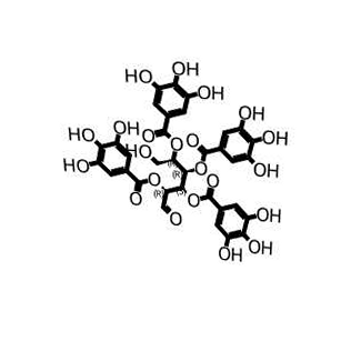 O=C[C@H](OC(=O)c1cc(O)c(O)c(O)c1)[C@@H](OC(=O)c1cc(O)c(O)c(O)c1)[C@H](OC(=O)c1cc(O)c(O)c(O)c1)[C@@H](CO)OC(=O)c1cc(O)c(O)c(O)c1